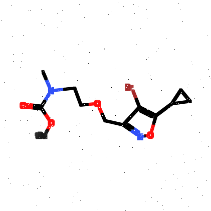 CN(CCOCc1noc(C2CC2)c1Br)C(=O)OC(C)(C)C